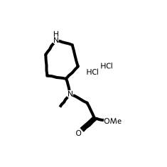 COC(=O)CN(C)C1CCNCC1.Cl.Cl